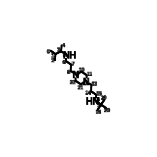 CC(C)C(C)NCCCN1CCN(CCCNC(C)(C)C)CC1